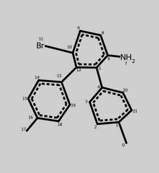 Cc1ccc(-c2c(N)ccc(Br)c2-c2ccc(C)cc2)cc1